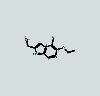 CCOc1ccc2[nH]c(CO)cc2c1C